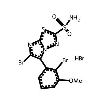 Br.COc1cccc(-c2c(Br)nc3sc(S(N)(=O)=O)nn23)c1Br